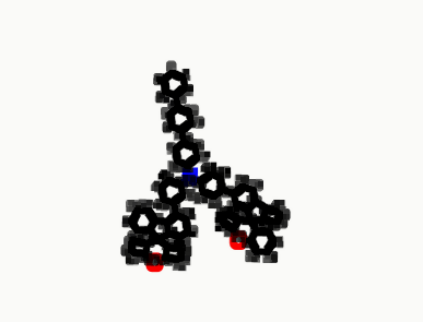 c1ccc(-c2ccc(-c3ccc(N(c4ccc(-c5ccc6c(c5)C5(c7ccccc7Oc7ccccc75)c5ccccc5-6)cc4)c4cccc(-c5cccc6c5-c5ccccc5C65c6ccccc6Oc6ccccc65)c4)cc3)cc2)cc1